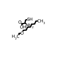 C=COCCCCCCCC.NC(CS)C(=O)O